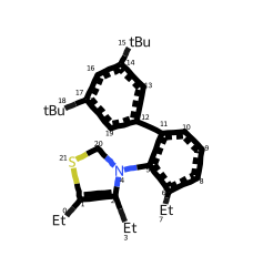 CCC1=C(CC)N(c2c(CC)cccc2-c2cc(C(C)(C)C)cc(C(C)(C)C)c2)[CH]S1